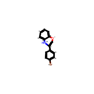 Brc1ccc(C2=COc3ccccc3N2)cc1